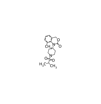 Cc1cccc2c1N(C1CCN(S(=O)(=O)C(C)C)CC1)C(=O)OC2